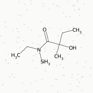 CCN([SiH3])C(=O)C(C)(O)CC